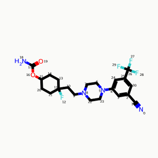 N#Cc1cc(N2CCN(CCC3(F)CCC(OC(N)=O)CC3)CC2)cc(C(F)(F)F)c1